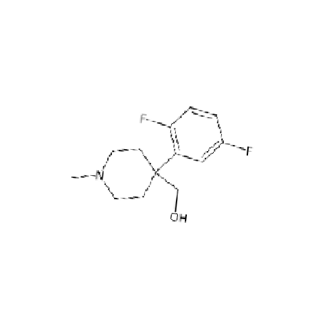 CN1CCC(CO)(c2cc(F)ccc2F)CC1